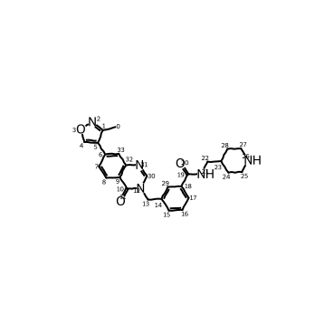 Cc1nocc1-c1ccc2c(=O)n(Cc3cccc(C(=O)NCC4CCNCC4)c3)cnc2c1